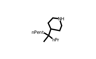 CCCCCC(C)(CCC)C1CCNCC1